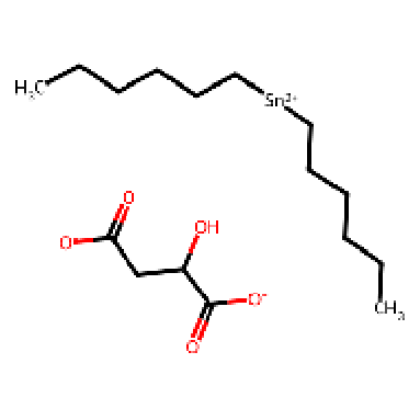 CCCCC[CH2][Sn+2][CH2]CCCCC.O=C([O-])CC(O)C(=O)[O-]